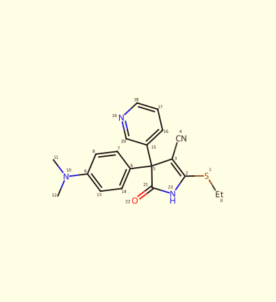 CCSC1=C(C#N)C(c2ccc(N(C)C)cc2)(c2cccnc2)C(=O)N1